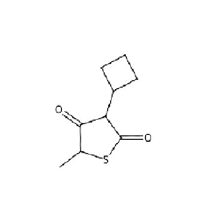 CC1SC(=O)C(C2CCC2)C1=O